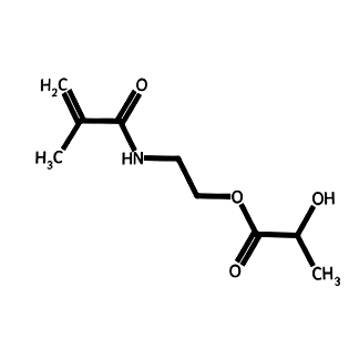 C=C(C)C(=O)NCCOC(=O)C(C)O